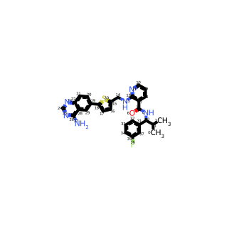 CC(C)C(NC(=O)c1cccnc1NCc1ccc(-c2ccc3ncnc(N)c3c2)s1)c1cccc(F)c1